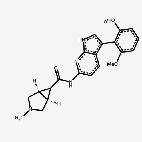 COc1cccc(OC)c1-c1c[nH]c2nc(NC(=O)C3[C@H]4CN(C)C[C@@H]34)ccc12